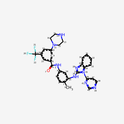 Cc1ccc(NC(=O)c2cc(N3CCNCC3)cc(C(F)(F)F)c2)cc1Nc1nc2ccccc2n1-c1ccncn1